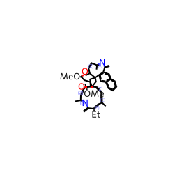 C=C1/N=C(C)/C=C\C(C)C(CCC(=O)OC)(CC2(CCC(=O)OC)c3cc4ccccc4cc3C(=C)/N=C(C)/C=C\C2C)\C=C/C=C(C)/C=C/1CC